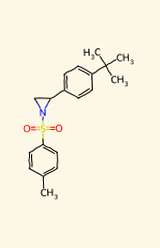 Cc1ccc(S(=O)(=O)N2CC2c2ccc(C(C)(C)C)cc2)cc1